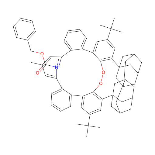 Cc1cc2[n+](C(=O)OCc3ccccc3)c(c1)-c1ccccc1-c1cc(C(C)(C)C)cc(C34CC5CC(CC(C5)C3)C4)c1OOc1c(cc(C(C)(C)C)cc1C13CC4CC(CC(C4)C1)C3)-c1ccccc1-2